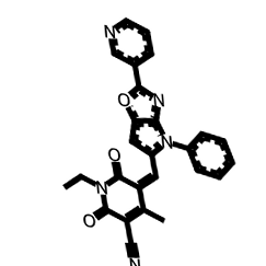 CCN1C(=O)C(C#N)=C(C)/C(=C/c2cc3oc(-c4cccnc4)nc3n2-c2ccccc2)C1=O